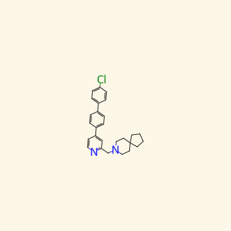 Clc1ccc(-c2ccc(-c3ccnc(CN4CCC5(CCCC5)CC4)c3)cc2)cc1